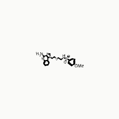 COc1ccc(S(=O)(=O)NCCOCCn2cnc3c(N)nc4ccccc4c32)cc1